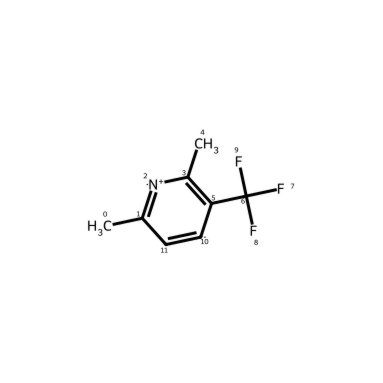 CC1=[N+]C(C)=C(C(F)(F)F)[C]=[C]1